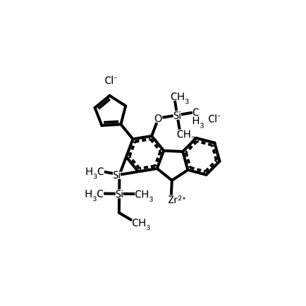 CC[Si](C)(C)[Si]1(C)c2c(C3=CC=CC3)c(O[Si](C)(C)C)c3c(c21)[CH]([Zr+2])c1ccccc1-3.[Cl-].[Cl-]